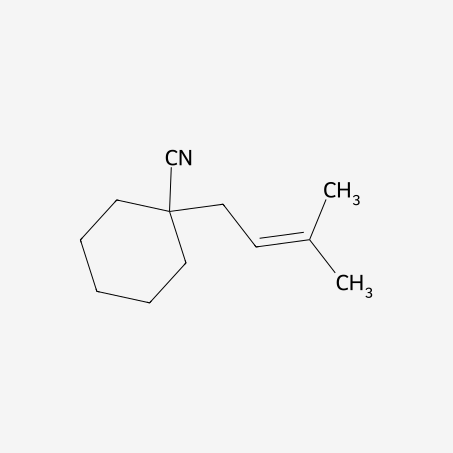 CC(C)=CCC1(C#N)CCCCC1